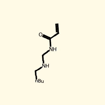 C=CC(=O)NCNCCCCC